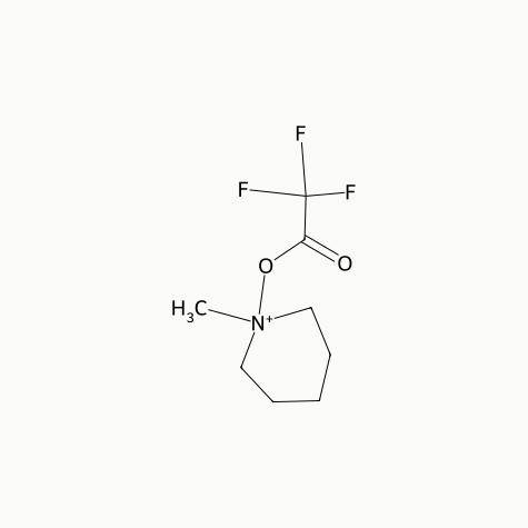 C[N+]1(OC(=O)C(F)(F)F)CCCCC1